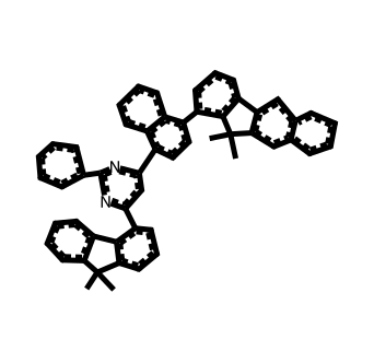 CC1(C)c2ccccc2-c2c(-c3cc(-c4ccc(-c5cccc6c5C(C)(C)c5cc7ccccc7cc5-6)c5ccccc45)nc(-c4ccccc4)n3)cccc21